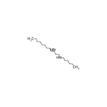 Br.CCCCCCCCCCCCNCCCCCC